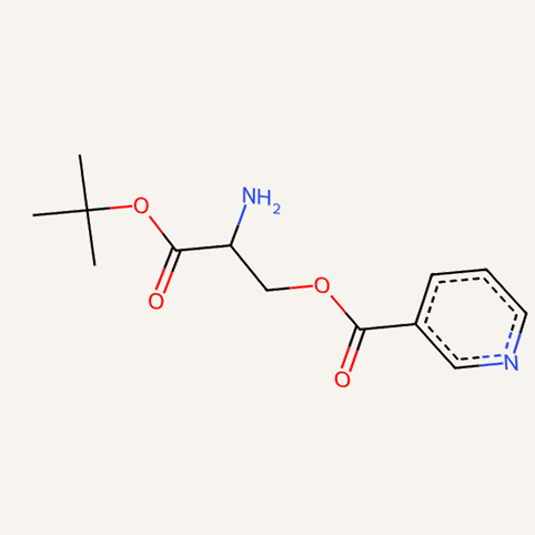 CC(C)(C)OC(=O)C(N)COC(=O)c1cccnc1